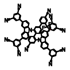 N#Cc1cc(C#N)cc(-c2ccc3c(c2)c2cc(-c4cc(C#N)cc(C#N)c4)ccc2n3-c2cc(C#N)ccc2-c2ccc(-c3ccc(C#N)cc3C(F)(F)F)cc2-n2c3ccc(-c4cc(C#N)cc(C#N)c4)cc3c3cc(-c4cc(C#N)cc(C#N)c4)ccc32)c1